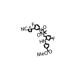 COC(=O)c1ccc(Nc2cc(F)ccc2CN2C(=O)N(c3ccc(F)c(-c4ccc(C#N)s4)c3)C(=O)C2(C)C)cc1